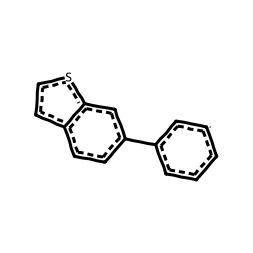 [c]1cccc(-c2ccc3ccsc3c2)c1